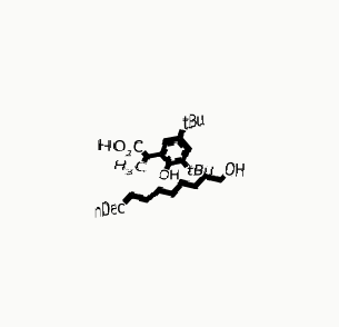 CC(C(=O)O)c1cc(C(C)(C)C)cc(C(C)(C)C)c1O.CCCCCCCCCCCCCCCCCCO